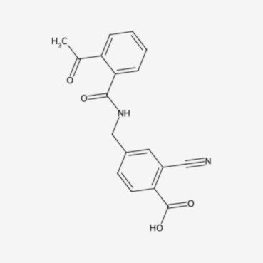 CC(=O)c1ccccc1C(=O)NCc1ccc(C(=O)O)c(C#N)c1